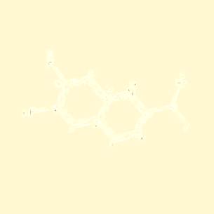 CC(Br)c1ccc2cc(F)c(F)cc2n1